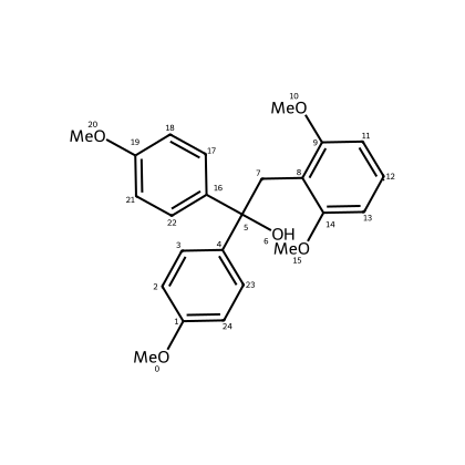 COc1ccc(C(O)(Cc2c(OC)c[c]cc2OC)c2ccc(OC)cc2)cc1